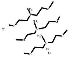 COCC[S+](N)CCOC.COCC[S+](N)CCOC.COCC[S+](N)CCOC.[Cl-].[Cl-].[Cl-]